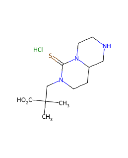 CC(C)(CN1CCC2CNCCN2C1=S)C(=O)O.Cl